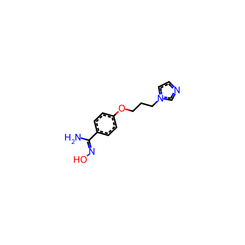 NC(=NO)c1ccc(OCCCn2ccnc2)cc1